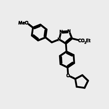 CCOC(=O)c1nnn(Cc2ccc(OC)cc2)c1-c1ccc(OC2CCCC2)cc1